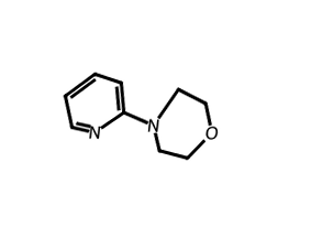 c1ccc(N2CCOCC2)nc1